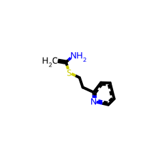 C=C(N)SCCc1ccccn1